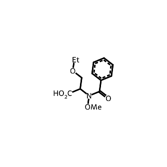 CCOCC(C(=O)O)N(OC)C(=O)c1ccccc1